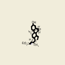 CCOC(=O)/C=C/[C@@H](C)[C@H]1CCC2C3C(CC[C@@]21C)[C@@]1(C)CCC(O)C=C1[C@H]1O[C@@H]31